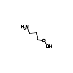 NCCCOO